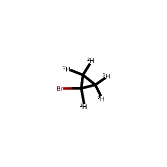 [2H]C1([2H])C([2H])([2H])C1([2H])Br